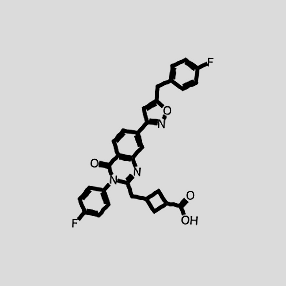 O=C(O)C1CC(Cc2nc3cc(-c4cc(Cc5ccc(F)cc5)on4)ccc3c(=O)n2-c2ccc(F)cc2)C1